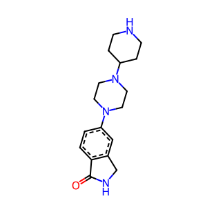 O=C1NCc2cc(N3CCN(C4CCNCC4)CC3)ccc21